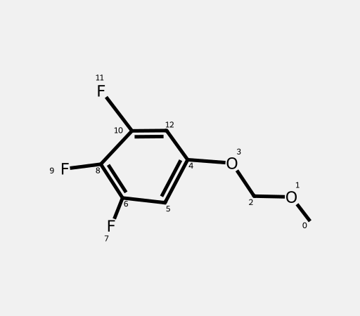 COCOc1cc(F)c(F)c(F)c1